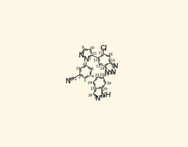 N#Cc1cccc(-n2nccc2-c2cc3c(cc2Cl)nnn3-c2ccc3cn[nH]c3c2)c1